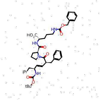 CC(C)C[C@@H](/C=C/[C@H](Cc1ccccc1)C(=O)N1CCC[C@H]1C(=O)N[C@@H](CCCNC(=O)OCc1ccccc1)C(=O)O)NC(=O)OC(C)(C)C